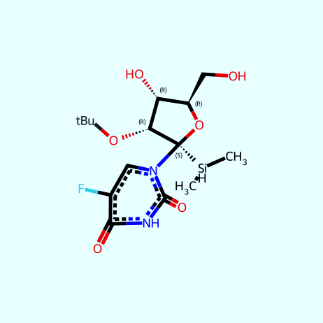 C[SiH](C)[C@@]1(n2cc(F)c(=O)[nH]c2=O)O[C@H](CO)[C@@H](O)[C@H]1OC(C)(C)C